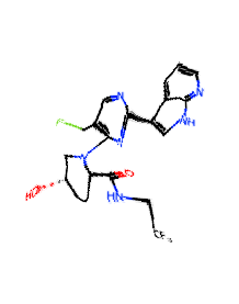 O=C(NCC(F)(F)F)C1C[C@H](O)CN1c1nc(-c2c[nH]c3ncccc23)ncc1F